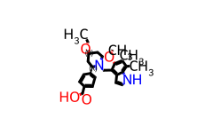 CCO[C@@H]1CCN(Cc2c(OC)c(C)c(C)c3[nH]ccc23)[C@@H](c2ccc(C(=O)O)cc2)C1